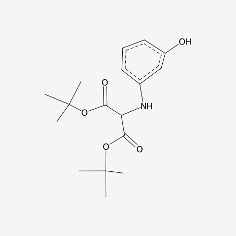 CC(C)(C)OC(=O)C(Nc1cccc(O)c1)C(=O)OC(C)(C)C